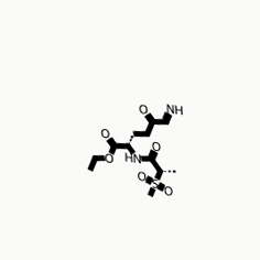 CCOC(=O)[C@H](CCC(=O)C=N)NC(=O)[C@H](C)S(C)(=O)=O